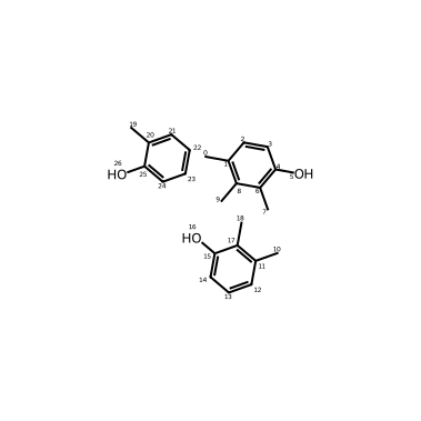 Cc1ccc(O)c(C)c1C.Cc1cccc(O)c1C.Cc1ccccc1O